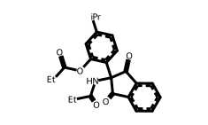 CCC(=O)NC1(c2ccc(C(C)C)cc2OC(=O)CC)C(=O)c2ccccc2C1=O